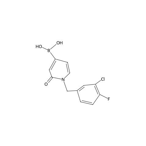 O=c1cc(B(O)O)ccn1Cc1ccc(F)c(Cl)c1